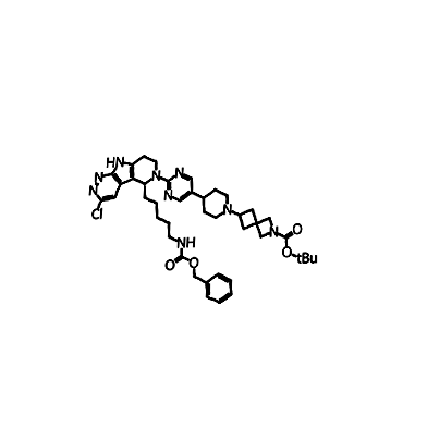 CC(C)(C)OC(=O)N1CC2(CC(N3CCC(c4cnc(N5CCc6[nH]c7nnc(Cl)cc7c6[C@@H]5CCCCCNC(=O)OCc5ccccc5)nc4)CC3)C2)C1